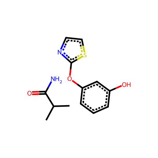 CC(C)C(N)=O.Oc1cccc(Oc2nccs2)c1